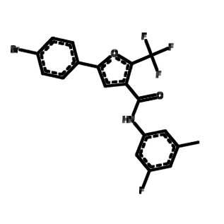 Cc1cc(F)cc(NC(=O)c2cc(-c3ccc(Br)cc3)oc2C(F)(F)F)c1